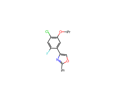 CC(C)Oc1cc(-c2coc(C(C)C)n2)c(F)cc1Cl